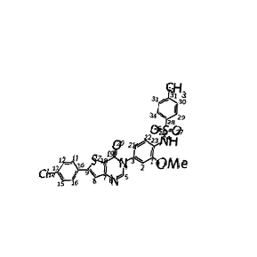 COc1cc(-n2cnc3cc(-c4ccc(Cl)cc4)sc3c2=O)ccc1NS(=O)(=O)c1ccc(C)cc1